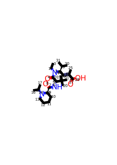 CCN(C(=O)[C@@H](NC(=O)[C@H]1CCCCN1C(C)C)C(C)(C)C)[C@H](/C=C(\C)C(=O)O)C(C)C